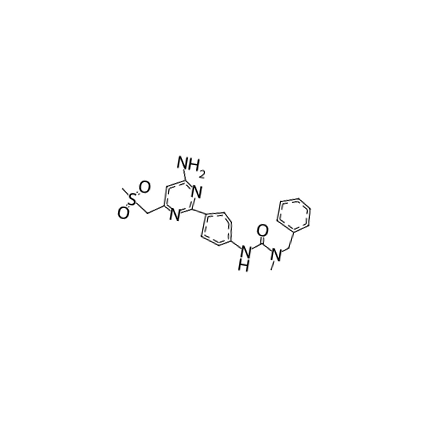 CN(Cc1ccccc1)C(=O)Nc1ccc(-c2nc(N)cc(CS(C)(=O)=O)n2)cc1